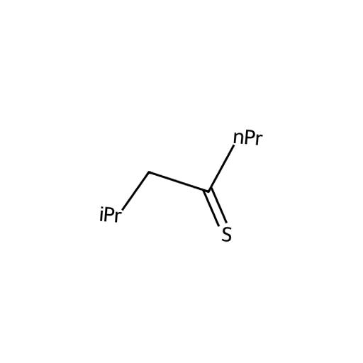 CCCC(=S)CC(C)C